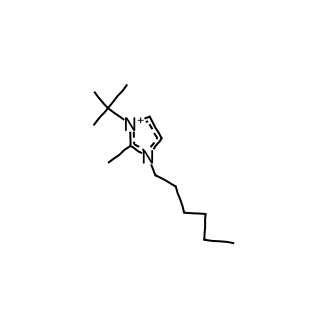 CCCCCCn1cc[n+](C(C)(C)C)c1C